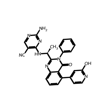 C[C@H](Nc1nc(N)ncc1C#N)c1nc2cccc(-c3ccnc(O)c3)c2c(=O)n1-c1ccccc1